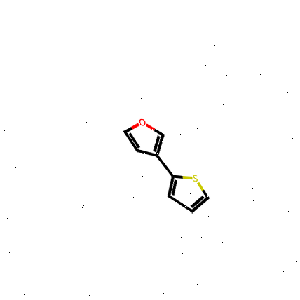 [c]1csc(-c2ccoc2)c1